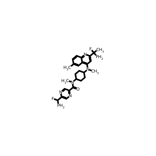 Cc1ccc2nc(C(C)(F)P)cc(N(C)C3CCC(N(C)C(=O)c4cnc(C(F)P)cn4)CC3)c2c1